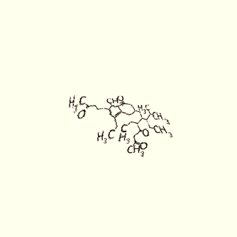 CCc1cc(CCC(C)=O)c(C)c2c1CC(CC(C(CC)C(=O)CC(C)=O)C(CC)C(C)C)CC2=O